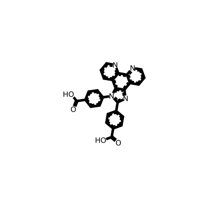 O=C(O)c1ccc(-c2nc3c4cccnc4c4ncccc4c3n2-c2ccc(C(=O)O)cc2)cc1